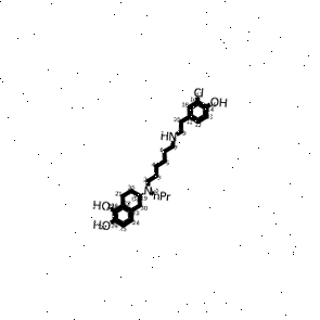 CCCN(CCCCCCNCCc1ccc(O)c(Cl)c1)[C@H]1CCc2c(ccc(O)c2O)C1